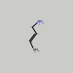 NCC=C[SiH3]